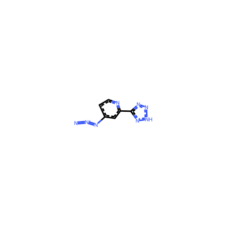 [N-]=[N+]=Nc1ccnc(-c2nn[nH]n2)c1